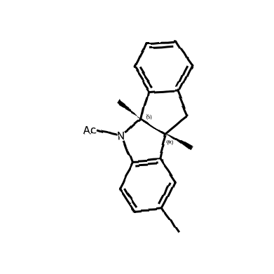 CC(=O)N1c2ccc(C)cc2[C@@]2(C)Cc3ccccc3[C@@]12C